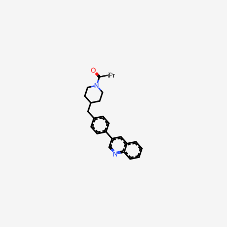 CC(C)C(=O)N1CCC(Cc2ccc(-c3cnc4ccccc4c3)cc2)CC1